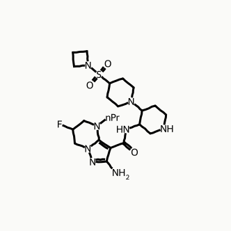 CCCN1CC(F)Cn2nc(N)c(C(=O)NC3CNCCC3N3CCC(S(=O)(=O)N4CCC4)CC3)c21